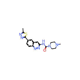 Cc1nnc(-c2ccc3nnc(NC(=O)N4CCN(C)CC4)cc3c2)s1